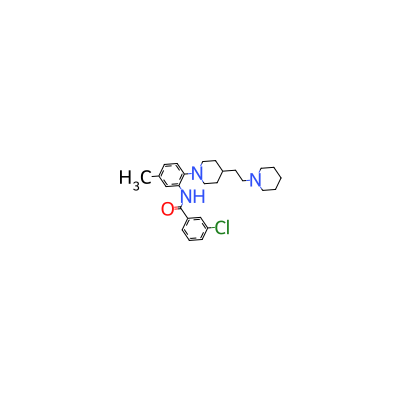 Cc1ccc(N2CCC(CCN3CCCCC3)CC2)c(NC(=O)c2cccc(Cl)c2)c1